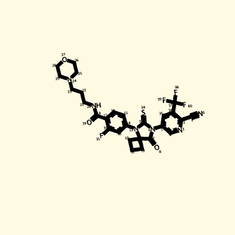 N#Cc1ncc(N2C(=O)C3(CCC3)N(c3ccc(C(=O)NCCCN4CCOCC4)c(F)c3)C2=S)cc1C(F)(F)F